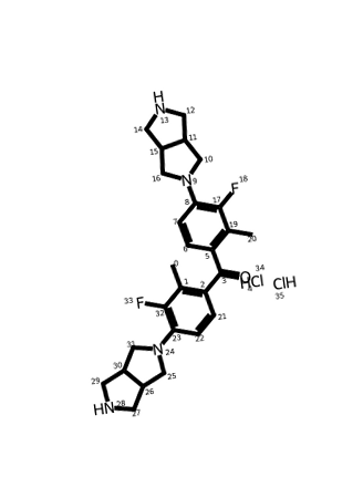 Cc1c(C(=O)c2ccc(N3CC4CNCC4C3)c(F)c2C)ccc(N2CC3CNCC3C2)c1F.Cl.Cl